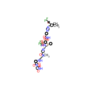 CN(CCCCNc1cccc2c1C(=O)N(C1CCC(=O)NC1=O)C2=O)C(=O)C1CCN(CC[C@H](CSc2ccccc2)Nc2ccc(S(=O)(=O)NC(=O)c3ccc(N4CCN(CC5=C(C67CC(C(F)F)(C6)C7)CC(C)(C)CC5)CC4)cc3)cc2S(=O)(=O)C(F)(F)F)CC1